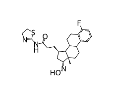 C[C@]12CCC3c4cccc(F)c4CCC3C1[C@H](CCC(=O)NC1=NCCS1)C/C2=N\O